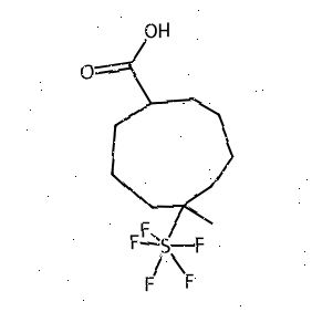 CC1(S(F)(F)(F)(F)F)CCCCC(C(=O)O)CCC1